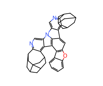 c1ccc2c(c1)oc1cc3c4c5c(ncc4n4c6cnc7c(c6c(c12)c34)C1CC2CC3CC7CC32C1)C1CC2CC(C1)CC5C2